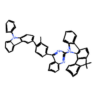 Cc1cc(-c2nc(-n3c4ccccc4c4ccc5c(c43)-c3ccccc3C5(C)C)nc3ccccc23)ccc1-c1ccc2c(c1)c1ccccc1n2-c1ccccc1